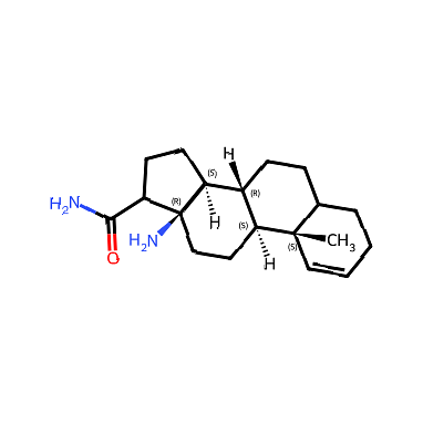 C[C@]12C=CCCC1CC[C@@H]1[C@@H]2CC[C@]2(N)C(C(N)=O)CC[C@@H]12